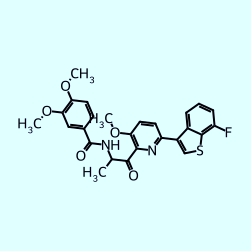 COc1ccc(C(=O)NC(C)C(=O)c2nc(-c3csc4c(F)cccc34)ccc2OC)cc1OC